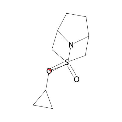 O=S1(=O)CC2CCC(C1)N2CCC1CC1